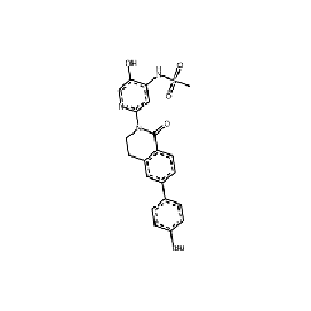 CC(C)(C)c1ccc(-c2ccc3c(c2)CCN(c2cc(NS(C)(=O)=O)c(O)cn2)C3=O)cc1